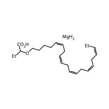 CC/C=C\C/C=C\C/C=C\C/C=C\C/C=C\CCCCOC(CC)C(=O)O.[MgH2]